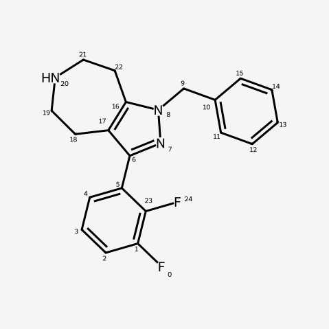 Fc1cccc(-c2nn(Cc3ccccc3)c3c2CCNCC3)c1F